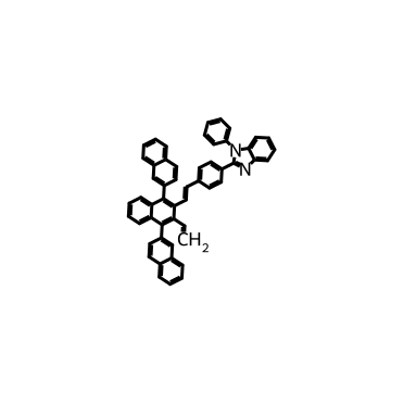 C=Cc1c(/C=C/c2ccc(-c3nc4ccccc4n3-c3ccccc3)cc2)c(-c2ccc3ccccc3c2)c2ccccc2c1-c1ccc2ccccc2c1